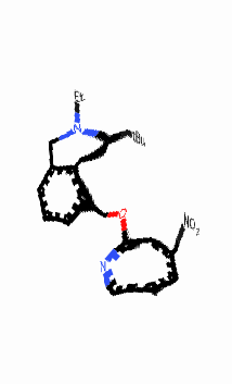 CCN1Cc2cccc(Oc3ncccc3[N+](=O)[O-])c2C1C(C)(C)C